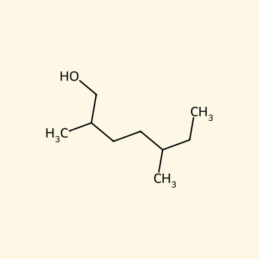 CCC(C)CCC(C)CO